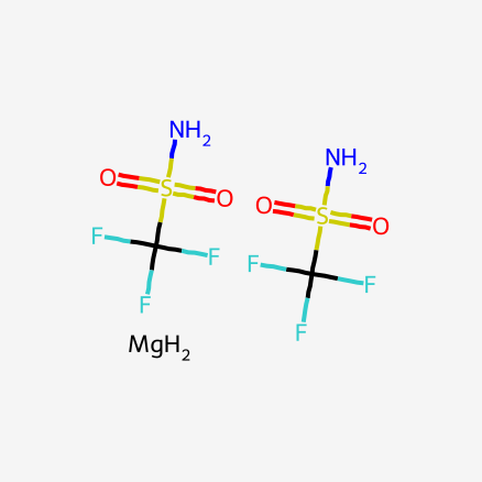 NS(=O)(=O)C(F)(F)F.NS(=O)(=O)C(F)(F)F.[MgH2]